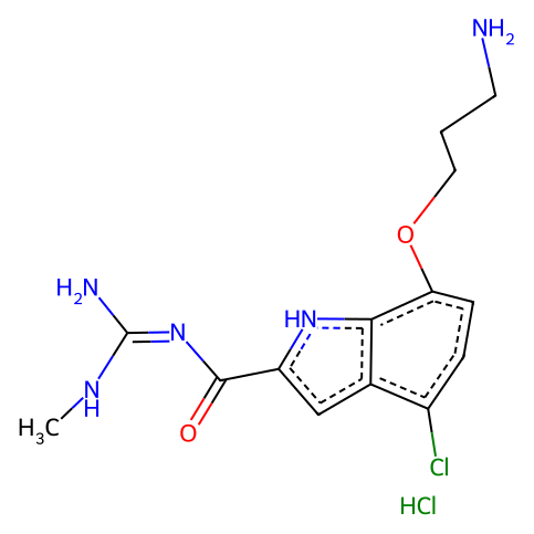 CNC(N)=NC(=O)c1cc2c(Cl)ccc(OCCCN)c2[nH]1.Cl